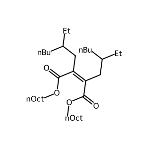 CCCCCCCCOC(=O)C(CC(CC)CCCC)=C(CC(CC)CCCC)C(=O)OCCCCCCCC